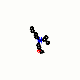 c1ccc(-c2cc(-c3nc(-c4ccc5cc(-c6ccc7ccccc7c6)ccc5c4)nc(-c4ccc5cc6oc7ccccc7c6cc5c4)n3)cc3ccccc23)cc1